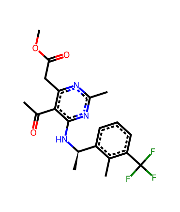 COC(=O)Cc1nc(C)nc(N[C@H](C)c2cccc(C(F)(F)F)c2C)c1C(C)=O